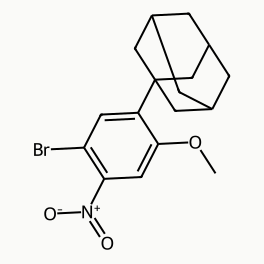 COc1cc([N+](=O)[O-])c(Br)cc1C12CC3CC(CC(C3)C1)C2